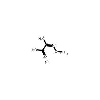 CON=C(C)C(=O)O.[Zn]